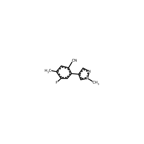 Cc1cc(C#N)c(-c2cnn(C)c2)cc1F